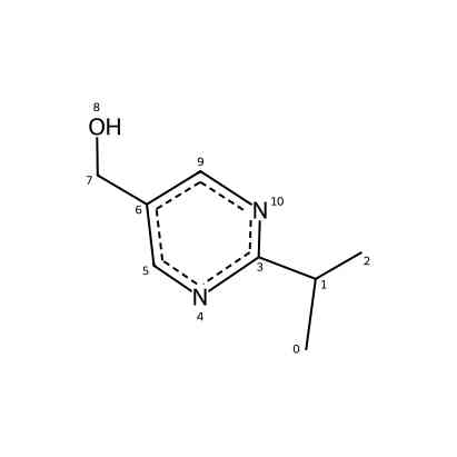 CC(C)c1ncc(CO)cn1